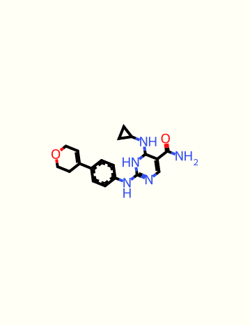 NC(=O)C1=CN=C(Nc2ccc(C3=CCOCC3)cc2)NC1NC1CC1